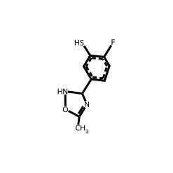 CC1=NC(c2ccc(F)c(S)c2)NO1